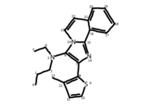 CCCN(CC)c1c(-c2sccc2C)nc2c3ccccc3ccn12